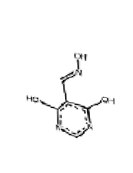 ON=Cc1c(O)ncnc1O